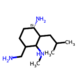 CNC1C(CN)CC[C@H](N)C1CC(C)C